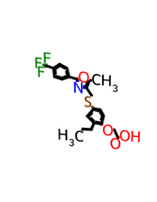 CCCc1cc(SCc2nc(-c3ccc(C(F)(F)F)cc3)oc2C)ccc1OCC(=O)O